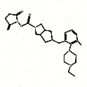 CCN1CCN(c2c(C)cccc2CN2CC3CN(C(=O)ON4C(=O)CCC4=O)CC3C2)CC1